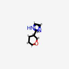 c1c[nH]c(C2CCCOC2)n1